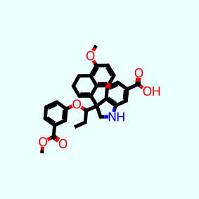 CCC(Oc1cccc(C(=O)OC)c1)C1(C2=CCCc3c(OC)cccc32)CNc2cc(C(=O)O)ccc21